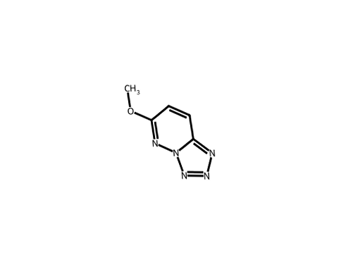 COc1ccc2nnnn2n1